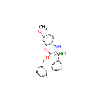 COc1ccc(N[C@@H](Cc2ccccc2)C(=O)OCc2ccccc2)cc1.Cl